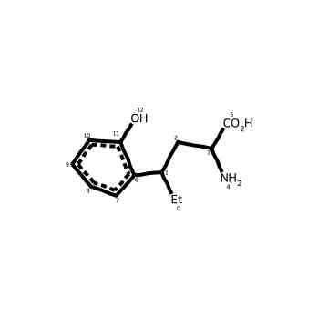 CCC(CC(N)C(=O)O)c1ccccc1O